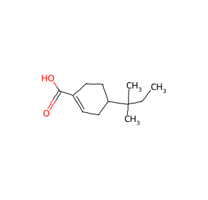 CCC(C)(C)C1CC=C(C(=O)O)CC1